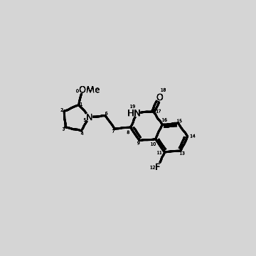 COC1CCCN1CCc1cc2c(F)cccc2c(=O)[nH]1